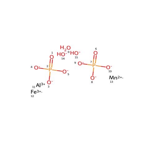 O.O=P([O-])([O-])[O-].O=P([O-])([O-])[O-].[Al+3].[Fe+3].[Mn+2].[OH-].[OH-]